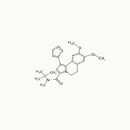 COc1cc2c(cc1OC)-c1c(-c3cccs3)cc(C(=O)N(C)C(C)(C)C)n1CC2